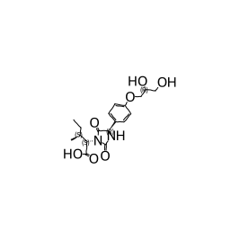 CC[C@H](C)[C@@H](C(=O)O)N1C(=O)N[C@H](c2ccc(OC[C@H](O)CO)cc2)C1=O